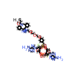 B[P@]1(=O)OC[C@H]2O[C@@H](n3cnc4c(N)ncnc43)[C@H](F)[C@@H]2O[P@@](=O)(SCc2ccc(OCCOCCOCCn3nnc4c3-c3ccccc3CN(C(=O)CC)c3ccccc3-4)cc2)OC[C@H]2O[C@@H](n3cnc4c(N)ncnc43)[C@H](F)[C@@H]2O1